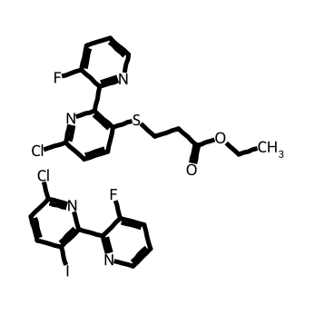 CCOC(=O)CCSc1ccc(Cl)nc1-c1ncccc1F.Fc1cccnc1-c1nc(Cl)ccc1I